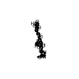 CCOc1cc(-c2ccc(N3CCC(NC(=O)c4cc(F)ccc4F)(C(=O)N4CCC5(CCC(CC(=O)N6CCC(c7ccc8c(c7)C(=O)N(C7CCC(=O)NC7=O)C8)CC6)CC5)CC4)CC3)nc2)c2c(C#N)cnn2c1